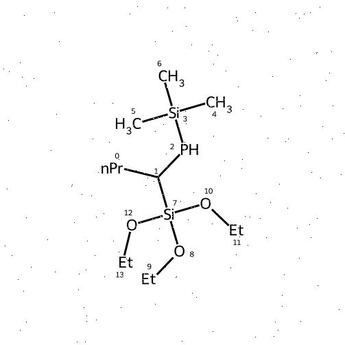 CCCC(P[Si](C)(C)C)[Si](OCC)(OCC)OCC